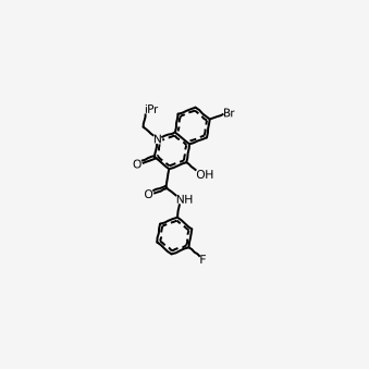 CC(C)Cn1c(=O)c(C(=O)Nc2cccc(F)c2)c(O)c2cc(Br)ccc21